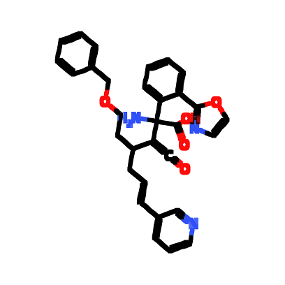 NC(C(=O)O)(C(=C=O)C(CC=Cc1cccnc1)CCOCc1ccccc1)c1ccccc1-c1ncco1